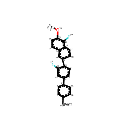 CCCCCc1ccc(-c2ccc(-c3ccc4c(F)c(OC(F)(F)F)ccc4c3)c(F)c2)cc1